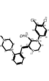 CN1CCN(c2ccccc2C=C2SCCN(c3ccc(Cl)c(Cl)c3)C2C=O)CC1